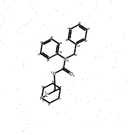 O=C(OC1CN2CCC1CC2)N(Cc1ccccc1)c1ccccc1